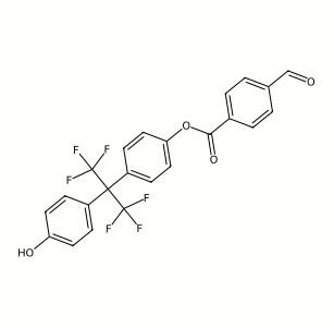 O=Cc1ccc(C(=O)Oc2ccc(C(c3ccc(O)cc3)(C(F)(F)F)C(F)(F)F)cc2)cc1